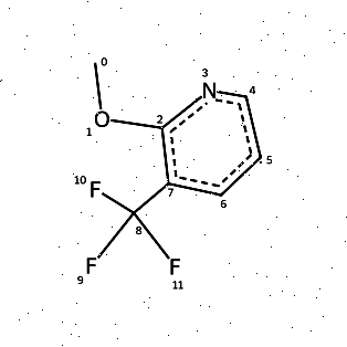 COc1nc[c]cc1C(F)(F)F